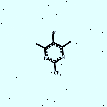 Cc1nc(C(F)(F)F)nc(C)c1Br